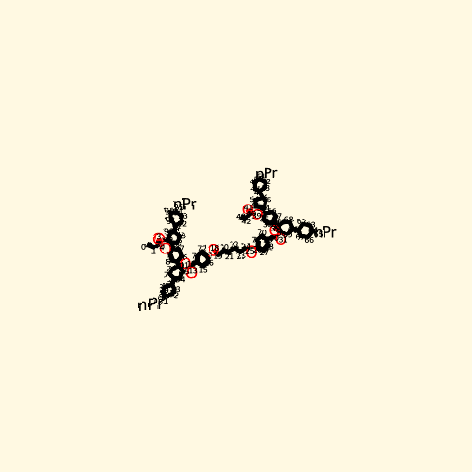 C=CC(=O)OC1(c2ccc(C3(OC(=O)c4ccc(OCCCCCCOc5ccc(C(=O)OC6(c7ccc(C8(OC(=O)C=C)CCC(C9CCC(CCC)CC9)CC8)cc7)CCC(C7CCC(CCC)CC7)CC6)cc5)cc4)CCC(C4CCC(CCC)CC4)CC3)cc2)CCC(C2CCC(CCC)CC2)CC1